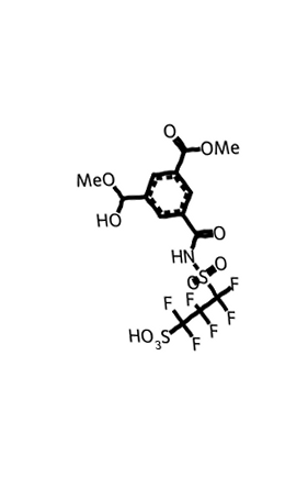 COC(=O)c1cc(C(=O)NS(=O)(=O)C(F)(F)C(F)(F)C(F)(F)S(=O)(=O)O)cc(C(O)OC)c1